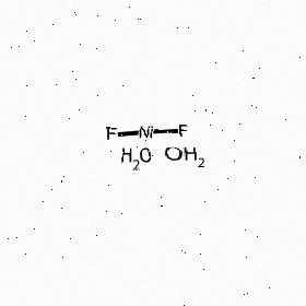 O.O.[F][Ni][F]